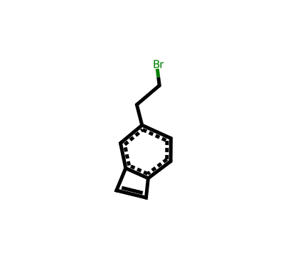 BrCCc1ccc2c(c1)C=C2